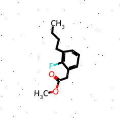 CCCCc1cccc(CC(=O)OC)c1F